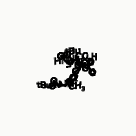 C[n+]1c2ccc(OCC(ON=C(C(=O)O)c3csc(NC(=O)OC(C)(C)C)n3)C(=O)OC(c3ccccc3)c3ccccc3)cc2cn1CC1CN(C(=O)OC(C)(C)C)C1